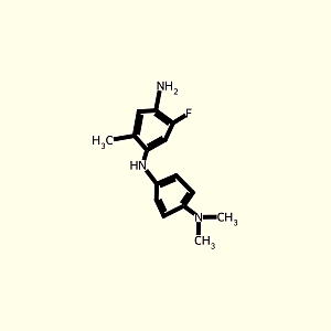 Cc1cc(N)c(F)cc1Nc1ccc(N(C)C)cc1